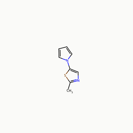 Cc1ncc(-n2cccc2)s1